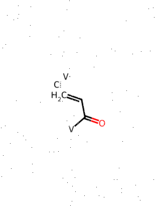 C=C[C](=O)[V].[C].[V]